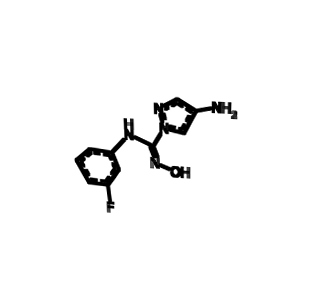 Nc1cnn(C(=NO)Nc2cccc(F)c2)c1